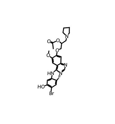 COc1cc2c(Nc3cc(O)c(Br)cc3F)ncnc2cc1OCC(CN1CCCC1)OC(C)=O